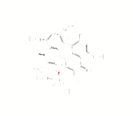 COC1=C(C[C@H](C)O)C2c3c(c(O)cc4c3-c3c(cc(O)c5c3C2C(C[C@H](C)O)=C(OC)C5=O)OCO4)C1=O